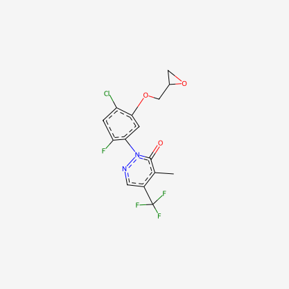 Cc1c(C(F)(F)F)cnn(-c2cc(OCC3CO3)c(Cl)cc2F)c1=O